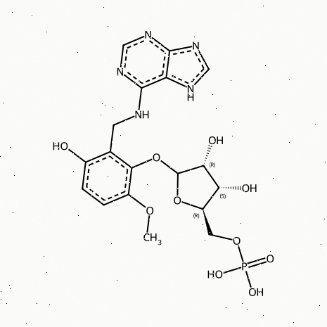 COc1ccc(O)c(CNc2ncnc3nc[nH]c23)c1OC1O[C@H](COP(=O)(O)O)[C@@H](O)[C@H]1O